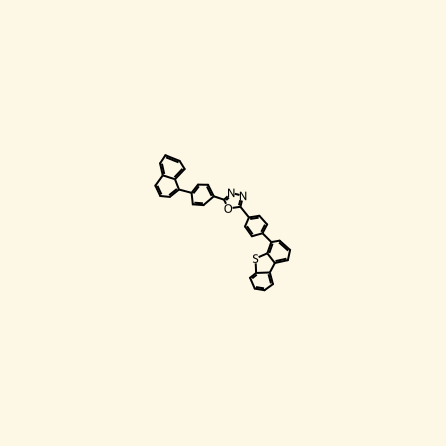 c1ccc2c(-c3ccc(-c4nnc(-c5ccc(-c6cccc7c6sc6ccccc67)cc5)o4)cc3)cccc2c1